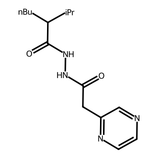 CCCCC(C(=O)NNC(=O)Cc1cnccn1)C(C)C